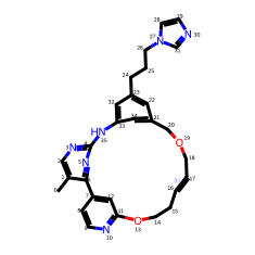 Cc1cnc2nc1-c1ccnc(c1)OCC/C=C/COCc1cc(CCCn3ccnc3)cc(c1)N2